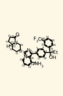 CCC(O)(c1ccc(-c2nc([C@@H]3CC[C@H]4CCC(=O)N4C3)n3cccc(N)c23)cc1)c1cccc(C(F)(F)F)c1